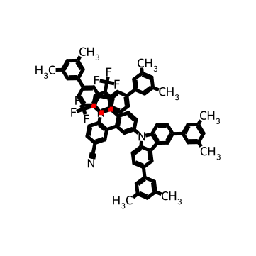 Cc1cc(C)cc(-c2ccc3c(c2)c2cc(-c4cc(C)cc(C)c4)ccc2n3-c2ccc(-c3cc(C(F)(F)F)cc(C(F)(F)F)c3)c(-c3cc(C#N)ccc3-n3c4ccc(-c5cc(C)cc(C)c5)cc4c4cc(-c5cc(C)cc(C)c5)ccc43)c2)c1